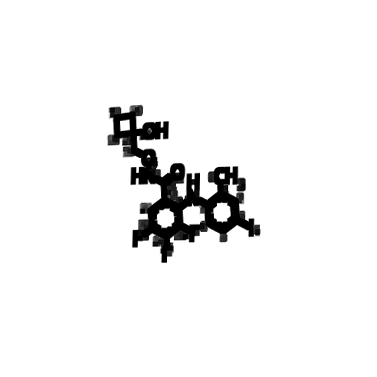 Cc1cc(I)ccc1Nc1c(C(=O)NOCC2(O)CCC2)cc(F)c(F)c1F